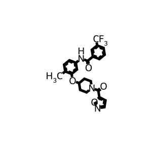 Cc1ccc(NC(=O)c2cccc(C(F)(F)F)c2)cc1OC1CCN(C(=O)c2ccno2)CC1